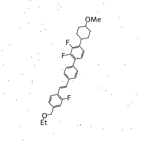 CCOCc1ccc(/C=C/c2ccc(-c3ccc(C4CCC(OC)CC4)c(F)c3F)cc2)c(F)c1